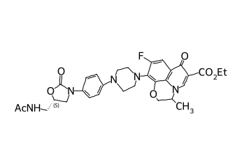 CCOC(=O)c1cn2c3c(c(N4CCN(c5ccc(N6C[C@H](CNC(C)=O)OC6=O)cc5)CC4)c(F)cc3c1=O)OCC2C